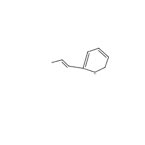 CC=CC1=CC=CC[C]1